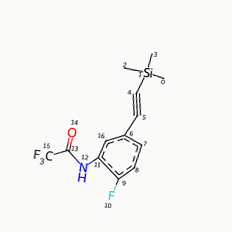 C[Si](C)(C)C#Cc1ccc(F)c(NC(=O)C(F)(F)F)c1